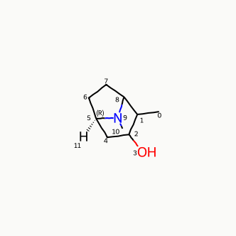 CC1C(O)C[C@H]2CCC1N2C